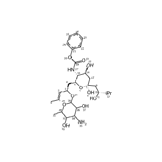 C/C=C/[C@@H](C[C@@H]1O[C@](O)(C[C@@H](O)C(C)C)C[C@H](O)[C@H]1NC(=O)Oc1ccccc1)OC1OC(C)C(O)C(N)C1O